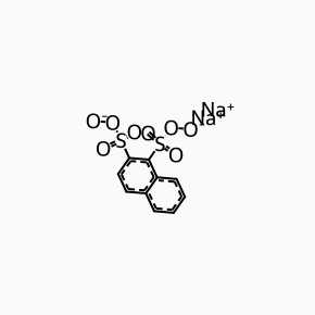 O=S(=O)(O[O-])c1ccc2ccccc2c1S(=O)(=O)O[O-].[Na+].[Na+]